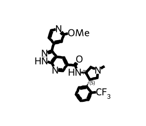 COc1cc(-c2n[nH]c3ncc(C(=O)N[C@H]4CN(C)C[C@@H]4c4ccccc4C(F)(F)F)cc23)ccn1